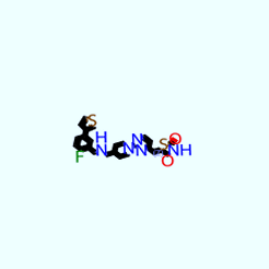 O=C1NC(=O)/C(=C/c2ccnc(N3CCC(CNCc4cc(C5C=CSC5)ccc4F)CC3)n2)S1